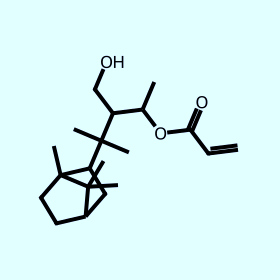 C=CC(=O)OC(C)C(CO)C(C)(C)C1CC2CCC1(C)C2(C)C